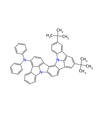 CC(C)(C)c1ccc2c(c1)c1cc(C(C)(C)C)cc3c4ccc5c(c6ccc(N(c7ccccc7)c7ccccc7)c7c8ccccc8n5c67)c4n2c13